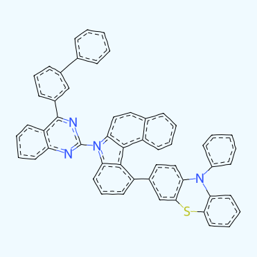 c1ccc(-c2cccc(-c3nc(-n4c5cccc(-c6ccc7c(c6)Sc6ccccc6N7c6ccccc6)c5c5c6ccccc6ccc54)nc4ccccc34)c2)cc1